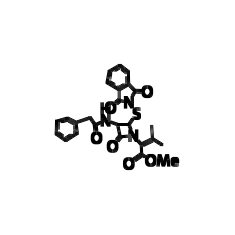 COC(=O)C(=C(C)C)N1C(=O)C(NC(=O)Cc2ccccc2)C1SN1C(=O)c2ccccc2C1=O